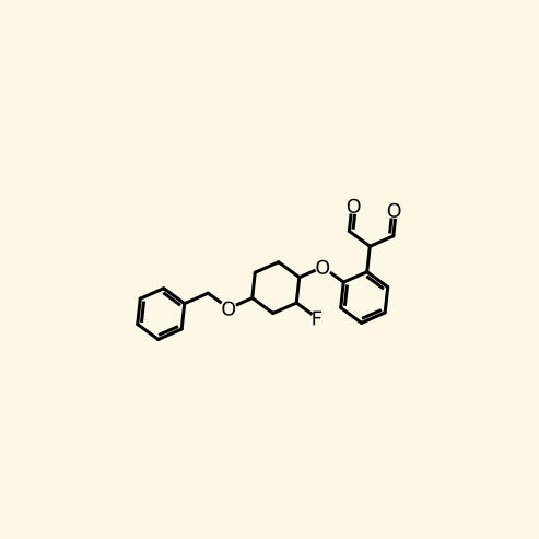 O=CC(C=O)c1ccccc1OC1CCC(OCc2ccccc2)CC1F